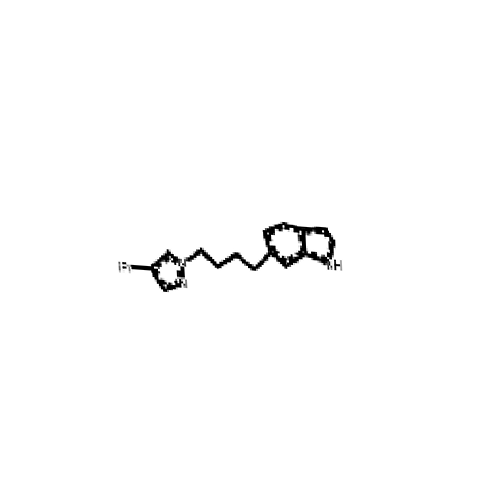 CC(C)c1cnn(CCCCc2ccc3cc[nH]c3c2)c1